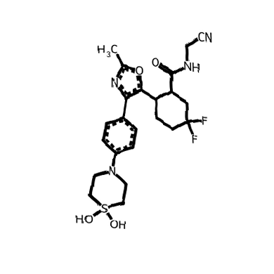 Cc1nc(-c2ccc(N3CCS(O)(O)CC3)cc2)c(C2CCC(F)(F)CC2C(=O)NCC#N)o1